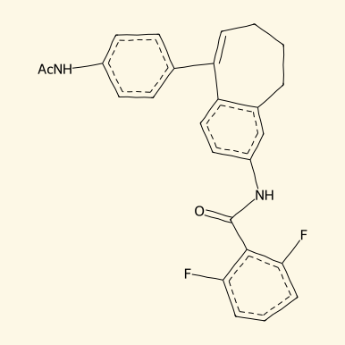 CC(=O)Nc1ccc(C2=CCCCc3cc(NC(=O)c4c(F)cccc4F)ccc32)cc1